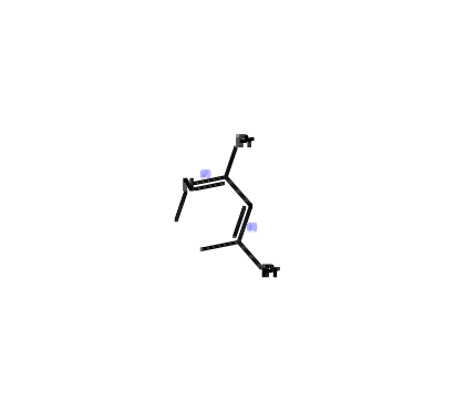 C/N=C(\C=C(/C)C(C)C)C(C)C